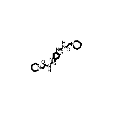 O=C(CN1CCCCCC1)Nc1nc2cc3nc(NC(=O)CN4CCCCCC4)sc3cc2s1